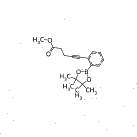 COC(=O)CCC#Cc1ccccc1B1OC(C)(C)C(C)(C)O1